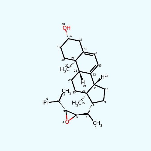 CC(C)C(C)[C@H]1O[C@@H]1C(C)[C@H]1CC[C@H]2C3=CC=C4C[C@@H](O)CC[C@]4(C)[C@H]3CC[C@]12C